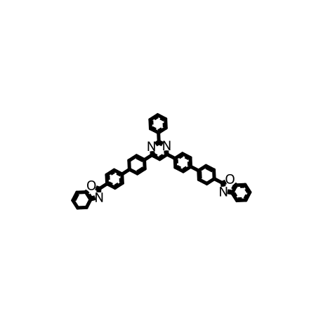 C1=Cc2oc(-c3ccc(C4C=CC(c5cc(-c6ccc(C7=CCC(c8nc9ccccc9o8)C=C7)cc6)nc(-c6ccccc6)n5)=CC4)cc3)nc2CC1